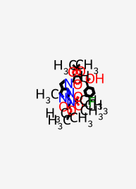 Cc1nc(N(C(=O)OC(C)(C)C)C(=O)OC(C)(C)C)nc2c1ccn2[C@@H]1O[C@H](C(O)c2ccc(F)cc2)[C@H]2OC(C)(C)OC12